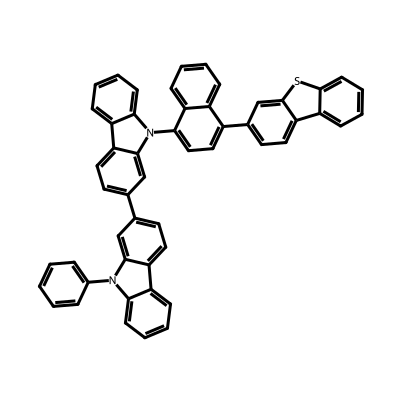 c1ccc(-n2c3ccccc3c3ccc(-c4ccc5c6ccccc6n(-c6ccc(-c7ccc8c(c7)sc7ccccc78)c7ccccc67)c5c4)cc32)cc1